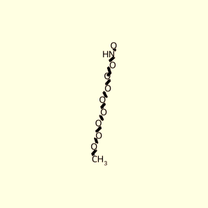 CCCOCCOCCOCCOCCOCCOCCOCCOCCNC=O